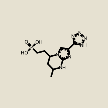 CC1CC(CCP(=O)(O)O)n2cc(-c3nnn[nH]3)nc2N1